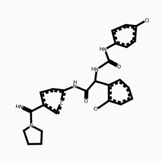 N=C(c1ccc(NC(=O)C(NC(=O)Nc2ccc(Cl)cc2)c2ccccc2Cl)cc1)N1CCCC1